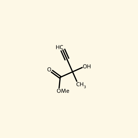 C#CC(C)(O)C(=O)OC